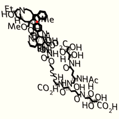 CC[C@]1(O)C[C@H]2CN(CCc3c([nH]c4ccccc34)[C@@](C(=O)OC)(c3cc4c(cc3OC)N(C)[C@H]3[C@@](O)(C(=O)NNC(=O)OCCSSC[C@H](NC(=O)[C@H](CCC(=O)NC[C@H](O)[C@@H](O)[C@H](O)C(=O)O)NC(=O)[C@H](CCC(=O)NC[C@H](O)[C@@H](O)[C@H](O)C(=O)O)NC(C)=O)C(=O)O)[C@H](O)[C@]5(CC)C=CCN6CC[C@]43[C@@H]65)C2)C1